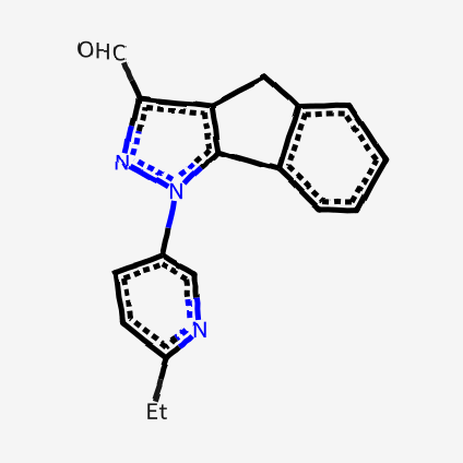 CCc1ccc(-n2nc(C=O)c3c2-c2ccccc2C3)cn1